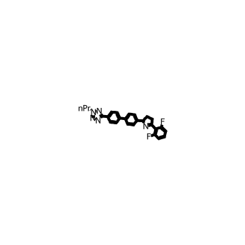 CCCn1nnc(-c2ccc(-c3ccc(C4CCC(c5c(F)cccc5F)=N4)cc3)cc2)n1